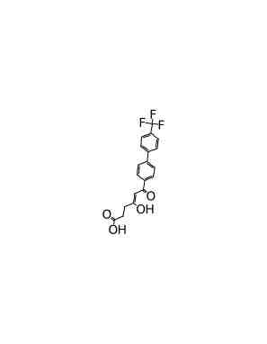 O=C(O)CC/C(O)=C/C(=O)c1ccc(-c2ccc(C(F)(F)F)cc2)cc1